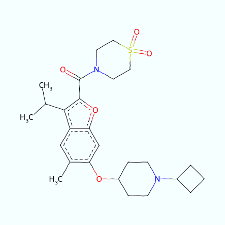 Cc1cc2c(C(C)C)c(C(=O)N3CCS(=O)(=O)CC3)oc2cc1OC1CCN(C2CCC2)CC1